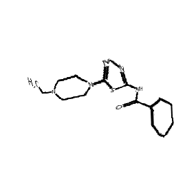 CCN1CCN(c2nnc(NC(=O)C3CCCCC3)s2)CC1